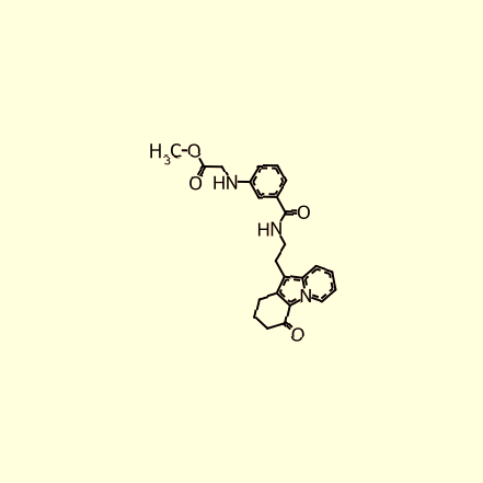 COC(=O)CNc1cccc(C(=O)NCCc2c3c(n4ccccc24)C(=O)CCC3)c1